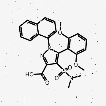 COc1cccc(OC)c1-c1c(S(=O)(=O)N(C)C)c(C(=O)O)nn1-c1cccc2ccccc12